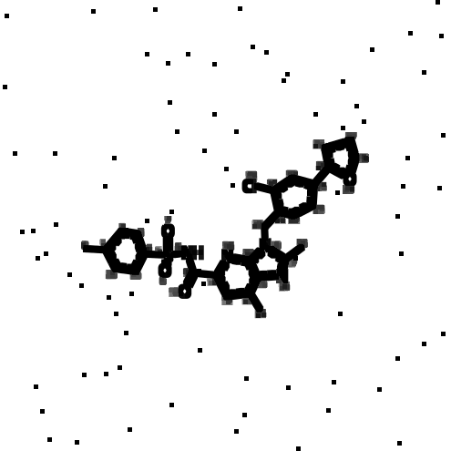 Cc1ccc(S(=O)(=O)NC(=O)c2cc(C)c3nc(C)n(Cc4ccc(-c5ccco5)cc4Cl)c3n2)cc1